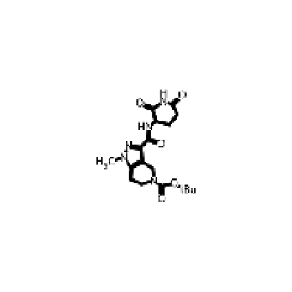 Cn1nc(C(=O)NC2CCC(=O)NC2=O)c2c1CCN(C(=O)OC(C)(C)C)C2